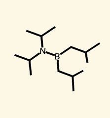 CC(C)CB(CC(C)C)N(C(C)C)C(C)C